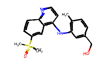 Cc1ccc(CO)cc1Nc1ccnc2ccc([SH](C)(C)=O)cc12